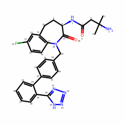 CC(C)(N)CC(=O)N[C@@H]1CCc2cc(F)ccc2N(Cc2ccc(-c3ccccc3-c3nnn[nH]3)cc2)C1=O